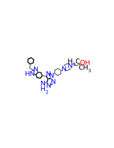 CC(C)(O)CCN1CCN([C@H]2CC[C@@H](n3nc(-c4ccc5[nH]c(Cc6ccccc6)nc5c4)c4c(N)ncnc43)CC2)CC1